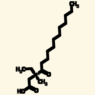 CCCCCCCCCCCC(=O)[N+](C)(CC)CC(=O)O